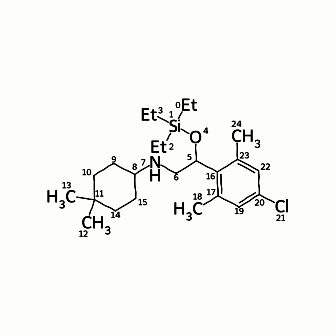 CC[Si](CC)(CC)OC(CNC1CCC(C)(C)CC1)c1c(C)cc(Cl)cc1C